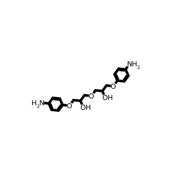 Nc1ccc(OCC(O)COCC(O)COc2ccc(N)cc2)cc1